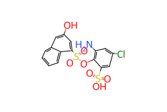 Nc1cc(Cl)cc(S(=O)(=O)O)c1OS(=O)(=O)c1cc(O)cc2ccccc12